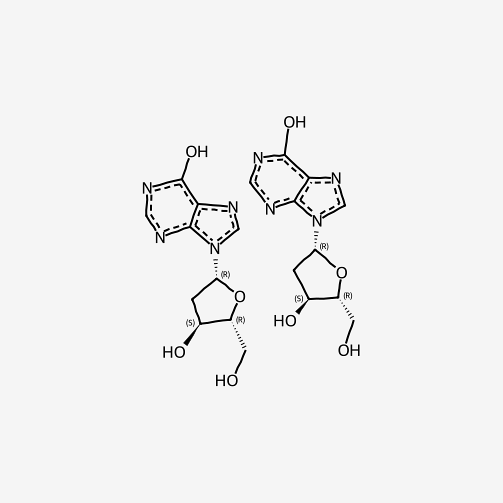 OC[C@H]1O[C@@H](n2cnc3c(O)ncnc32)C[C@@H]1O.OC[C@H]1O[C@@H](n2cnc3c(O)ncnc32)C[C@@H]1O